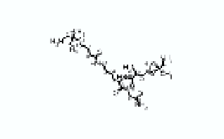 CC(C)(CN)SSCCC(=O)NCCCCC(NC(=O)C(N)CSSC(C)(C)CN)C(=O)NCC(N)=O